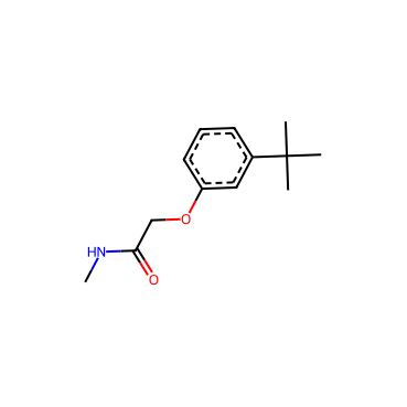 CNC(=O)COc1cccc(C(C)(C)C)c1